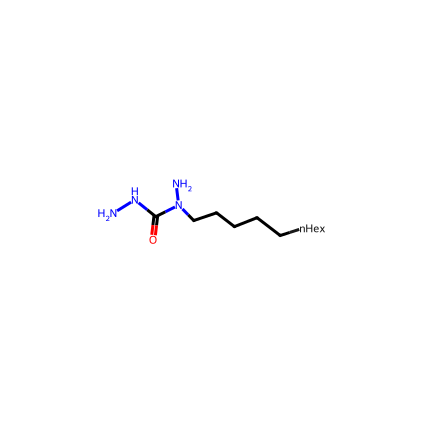 CCCCCCCCCCCN(N)C(=O)NN